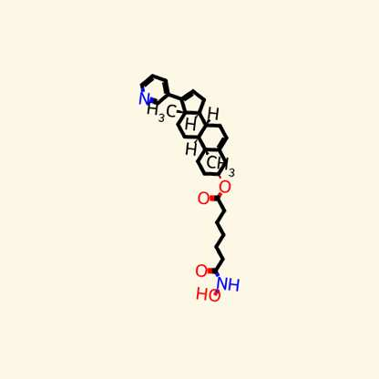 C[C@]12CC[C@@H](OC(=O)CCCCCC(=O)NO)CC1=CC[C@@H]1[C@@H]2CC[C@]2(C)C(c3cccnc3)=CC[C@@H]12